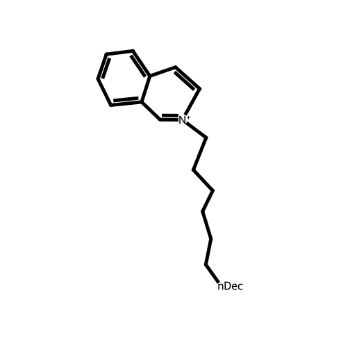 CCCCCCCCCCCCCCCC[n+]1ccc2ccccc2c1